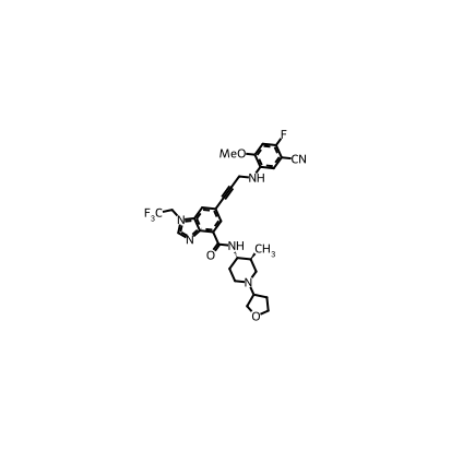 COc1cc(F)c(C#N)cc1NCC#Cc1cc(C(=O)N[C@H]2CCN(C3CCOC3)C[C@@H]2C)c2ncn(CC(F)(F)F)c2c1